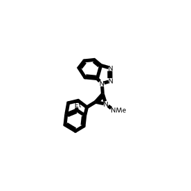 CCc1c2cccc1C(C1=C(n3nnc4ccccc43)N1NC)CC2